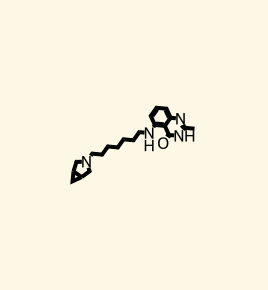 Cc1nc2cccc(NCCCCCCCN3CC4CC4C3)c2c(=O)[nH]1